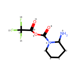 NC1CCCCN1C(=O)OC(=O)C(F)(F)F